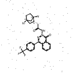 O=C(C[C@@H]1C[C@@H]2CC[C@H]1C2)Nn1nc(-c2ccc(C(F)(F)F)cc2)c2ccccc2c1=O